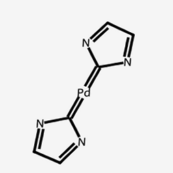 C1=N[C](=[Pd]=[C]2N=CC=N2)N=C1